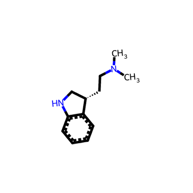 CN(C)CC[C@H]1CNc2ccccc21